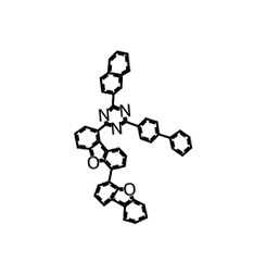 c1ccc(-c2ccc(-c3nc(-c4ccc5ccccc5c4)nc(-c4cccc5oc6c(-c7cccc8c7oc7ccccc78)cccc6c45)n3)cc2)cc1